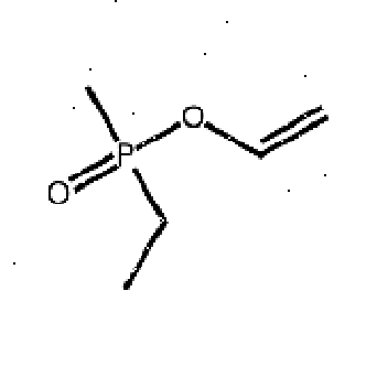 C=COP(C)(=O)CC